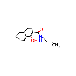 CCCCNC(=O)c1ccc2ccccc2c1O